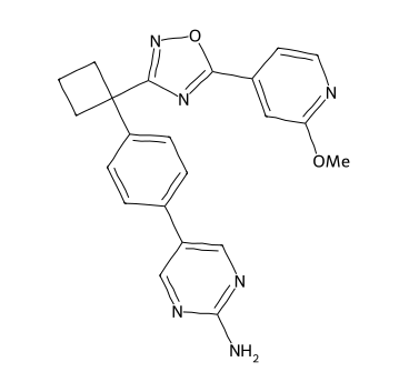 COc1cc(-c2nc(C3(c4ccc(-c5cnc(N)nc5)cc4)CCC3)no2)ccn1